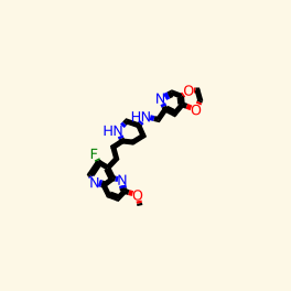 COc1ccc2ncc(F)c(CCC3CCC(NCc4cc5c(cn4)OCCO5)CN3)c2n1